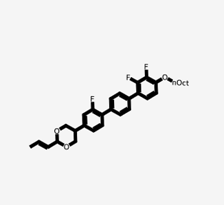 C/C=C/C1OCC(c2ccc(-c3ccc(-c4ccc(OCCCCCCCC)c(F)c4F)cc3)c(F)c2)CO1